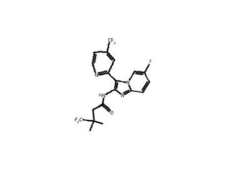 CC(C)(CC(=O)Nc1nc2ccc(F)cn2c1-c1cc(C(F)(F)F)ccn1)C(F)(F)F